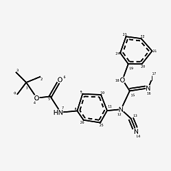 CC(C)(C)OC(=O)Nc1ccc(N(C#N)C(=NI)Oc2ccccc2)cc1